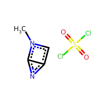 Cn1cc2nc1-2.O=S(=O)(Cl)Cl